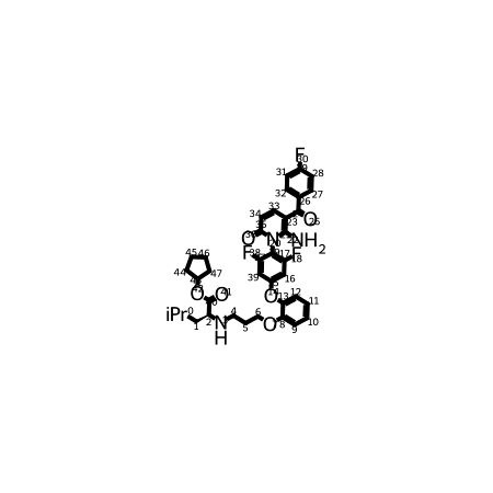 CC(C)C[C@H](NCCCOc1ccccc1Oc1cc(F)c(-n2c(N)c(C(=O)c3ccc(F)cc3)ccc2=O)c(F)c1)C(=O)OC1CCCC1